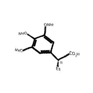 CC[C@H](C(=O)O)c1cc(OC)c(OC)c(OC)c1